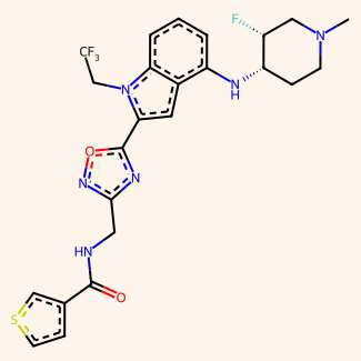 CN1CC[C@H](Nc2cccc3c2cc(-c2nc(CNC(=O)c4ccsc4)no2)n3CC(F)(F)F)[C@H](F)C1